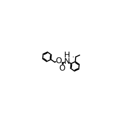 C[CH]c1ccccc1NC(=O)OCc1ccccc1